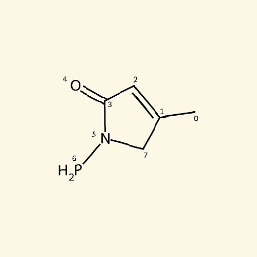 CC1=CC(=O)N(P)C1